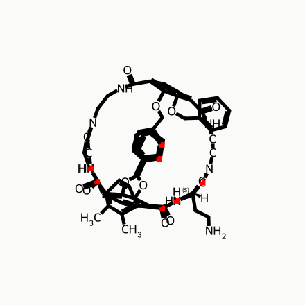 Cc1c2ccc(c1C)C(=O)NCCN1CCNC(=O)c3ccc(c(OCc4ccccc4)c3OCc3ccccc3)C(=O)NCCN(CCNC2=O)CCNC(=O)c2ccc(c(OCc3ccccc3)c2OCc2ccccc2)C(=O)N[C@@H](CCN)C1